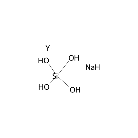 O[Si](O)(O)O.[NaH].[Y]